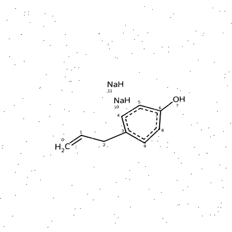 C=CCc1ccc(O)cc1.[NaH].[NaH]